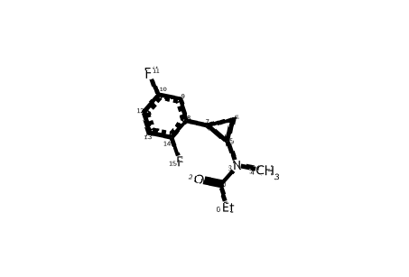 CCC(=O)N(C)C1CC1c1cc(F)ccc1F